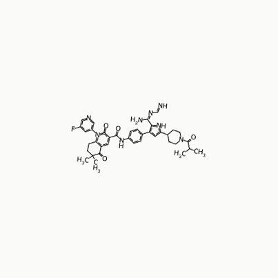 CC(C)C(=O)N1CCC(c2cc(-c3ccc(NC(=O)c4cc5c(n(-c6cncc(F)c6)c4=O)CCC(C)(C)C5=O)cc3)c(/C(N)=N\C=N)[nH]2)CC1